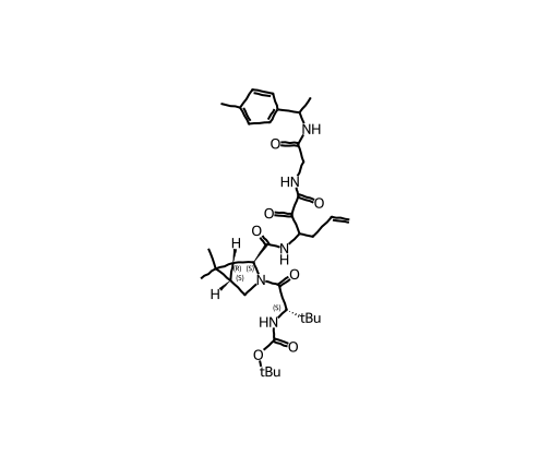 C=CCC(NC(=O)[C@@H]1[C@@H]2[C@H](CN1C(=O)[C@@H](NC(=O)OC(C)(C)C)C(C)(C)C)C2(C)C)C(=O)C(=O)NCC(=O)NC(C)c1ccc(C)cc1